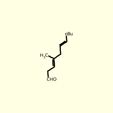 CCCC/C=C/C/C(C)=C/C[C]=O